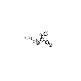 COCCOc1noc(C2CC(c3ccc(OC(F)(F)F)cc3)CN(C(=O)N3CCSCC3)C2)n1